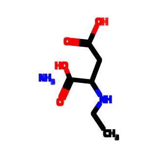 CCNC(CC(=O)O)C(=O)O.N